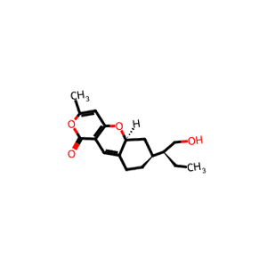 CC[C@H](CO)[C@H]1CCC2=Cc3c(cc(C)oc3=O)O[C@H]2C1